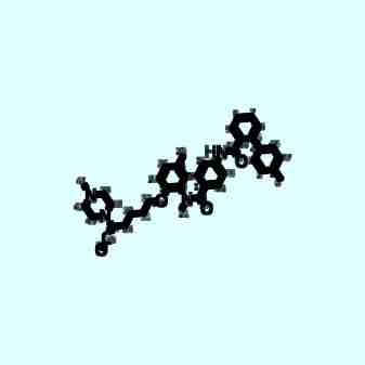 Cc1ccc(-c2ccccc2C(=O)Nc2ccc(C(=O)N(C)c3cc(C)ccc3OCCCCC(=C=O)N3CCN(C)CC3)cc2)cc1